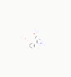 CCNC(=O)c1cc2c(-c3cc(OCC4CCCO4)c(Cl)cc3Cl)nc(N)nc2s1